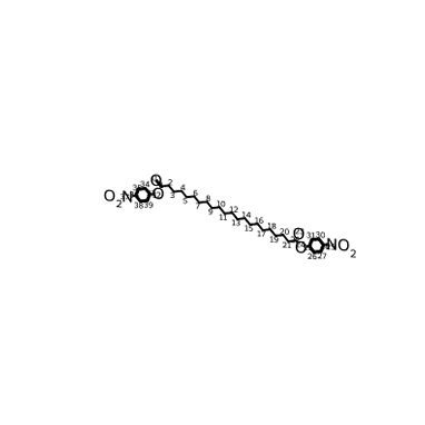 O=C(CCCCCCCCCCCCCCCCCCCCC(=O)Oc1ccc([N+](=O)[O-])cc1)Oc1ccc([N+](=O)[O-])cc1